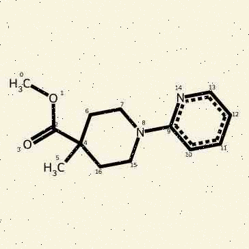 COC(=O)C1(C)CCN(c2ccccn2)CC1